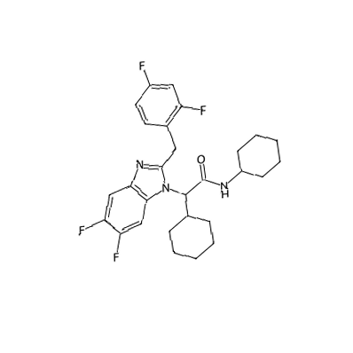 O=C(NC1CCCCC1)C(C1CCCCC1)n1c(Cc2ccc(F)cc2F)nc2cc(F)c(F)cc21